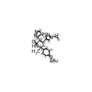 CCCCOc1ccc([C@]2(C)CC(c3cnn(C4CC4)c3)=C(c3nnc[nH]3)C(=O)N2)cc1